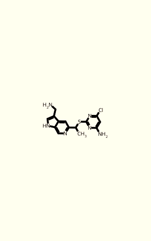 CC(Sc1nc(N)cc(Cl)n1)c1cc2c(CN)c[nH]c2cn1